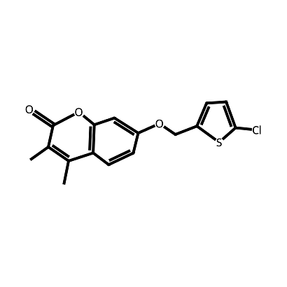 Cc1c(C)c2ccc(OCc3ccc(Cl)s3)cc2oc1=O